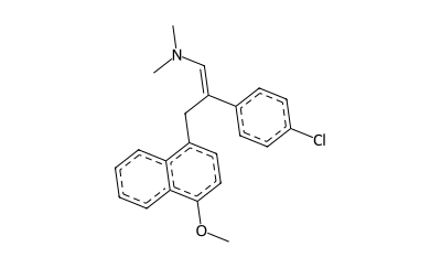 COc1ccc(C/C(=C\N(C)C)c2ccc(Cl)cc2)c2ccccc12